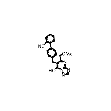 COCc1nc2ncnn2c(O)c1Cc1ccc(-c2ccccc2C#N)cc1